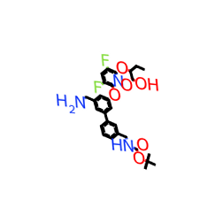 CCC(Oc1nc(Oc2cc(CN)cc(-c3cccc(CNC(=O)OC(C)(C)C)c3)c2)c(F)cc1F)C(=O)O